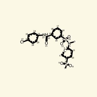 CN(c1ccc(S(C)(=O)=O)cc1)S(=O)(=O)c1cccc(C(=O)Nc2ccc(Cl)cc2)c1